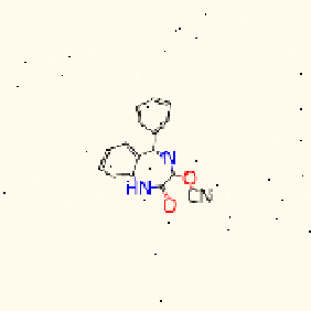 N#COC1N=C(c2ccccc2)c2ccccc2NC1=O